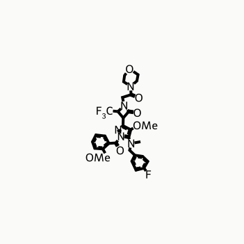 COc1ccccc1C(=O)n1nc(C2C(=O)N(CC(=O)N3CCOCC3)C2C(F)(F)F)c(OC)c1N(C)Cc1ccc(F)cc1